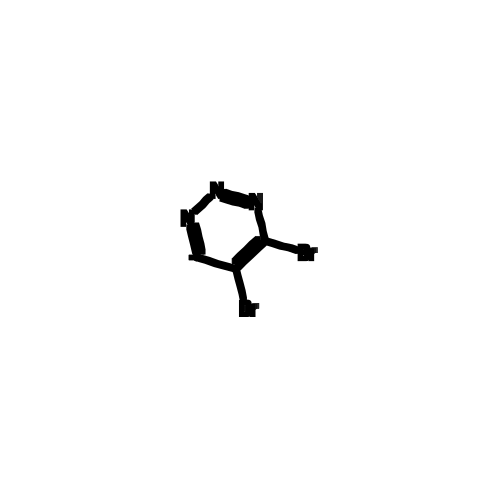 Brc1[c]nnnc1Br